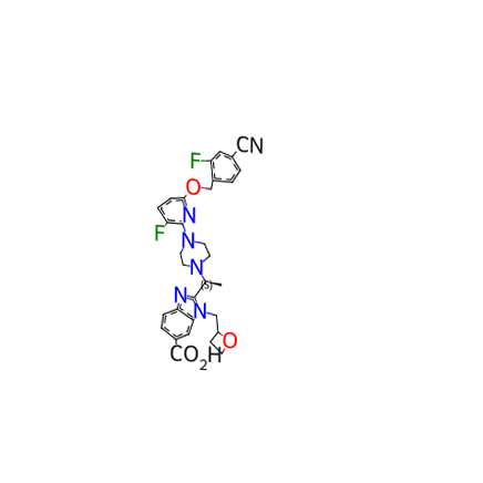 C[C@@H](c1nc2ccc(C(=O)O)cc2n1CC1CCO1)N1CCN(c2nc(OCc3ccc(C#N)cc3F)ccc2F)CC1